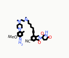 COc1cc(N2CCC(N(C)CCN(C)CCCCCC#Cc3cc(C#N)cc4c3CN(C3CCC(=O)NC3=O)C4=O)CC2)c(C)cc1N